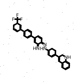 N=C1C=C(c2ccc(C3=CC(C(F)(F)F)CC=C3)cc2)C=C/C1=N/NC1=CC=C(C2=Cc3ccccc3NC2)CC1